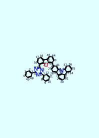 c1ccc(-c2nc(-c3ccccc3)nc(-c3cccc4c3oc3c(-c5ccc6c7cccc8c9ccccc9n(c6c5)c87)cccc34)n2)cc1